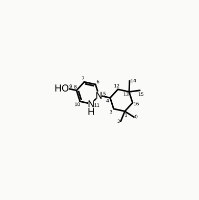 CC1(C)CC(N2C=CC(O)=CN2)CC(C)(C)C1